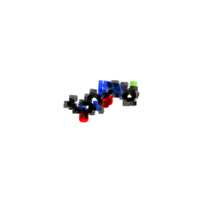 CN1C(=O)[C@H](NC(=O)c2ncn(Cc3ccccc3F)n2)CCc2cn(CC3CC3)c(=O)cc21